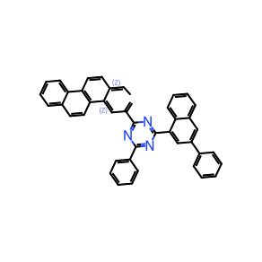 C=C(/C=c1\c(=C/C)ccc2c1ccc1ccccc12)c1nc(-c2ccccc2)nc(-c2cc(-c3ccccc3)cc3ccccc23)n1